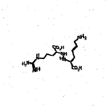 N=C(N)NCCC[C@H](NN[C@@H](CCCCN)C(=O)O)C(=O)O